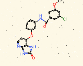 O=C(Nc1cccc(Oc2ccnc3[nH]c(=O)[nH]c23)c1)c1cc(Cl)cc(OC(F)(F)F)c1